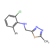 Cc1nnc(CNc2c(Cl)cccc2C(C)C)s1